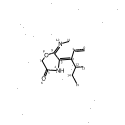 C=C/C(=C1/NC(=O)CO/C1=N/C)C(C)CC